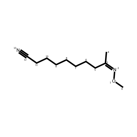 CON=C(C)CCCCCCCC#N